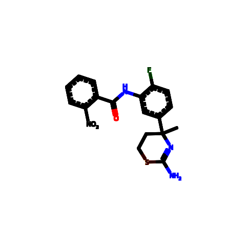 CC1(c2ccc(F)c(NC(=O)c3ccccc3[N+](=O)[O-])c2)CCSC(N)=N1